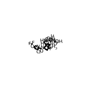 CC1(C)C(NC(=O)O)=N[C@](C)(c2cc(NC(=O)c3ncc(OC(F)F)cc3Cl)ccc2F)[C@@H]2CCN[S@@]21O